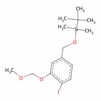 COCOc1cc(CO[Si](C)(C)C(C)(C)C)ccc1I